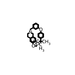 CC(C)(C)c1ccc(Oc2cccc(CN3CCc4cc5c(cc4C3)OCO5)c2)cc1